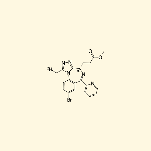 [2H]Cc1nnc2n1-c1ccc(Br)cc1C(c1ccccn1)=N[C@H]2CCC(=O)OC